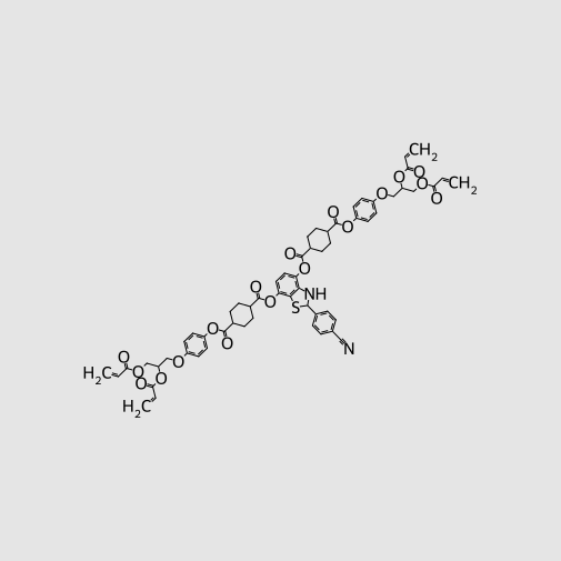 C=CC(=O)OCC(COc1ccc(OC(=O)C2CCC(C(=O)Oc3ccc(OC(=O)C4CCC(C(=O)Oc5ccc(OCC(COC(=O)C=C)OC(=O)C=C)cc5)CC4)c4c3NC(c3ccc(C#N)cc3)S4)CC2)cc1)OC(=O)C=C